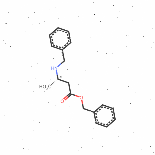 O=C(C[C@@H](NCc1ccccc1)C(=O)O)OCc1ccccc1